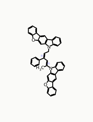 C/C(=C\C(=C/Cn1c2ccccc2c2cc3c(cc21)oc1ccccc13)c1ccccc1)n1c2ccccc2c2cc3c(cc21)oc1ccccc13